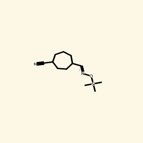 C[Si](C)(C)O/N=C/C1CCCC(C#N)CC1